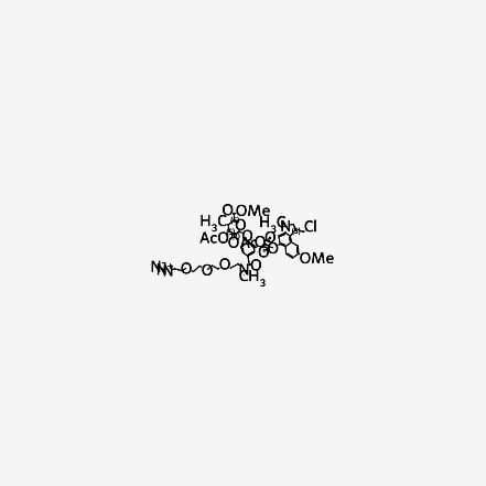 COC(=O)[C@H]1OC(Oc2ccc(C(=O)N(C)CCOCCOCCOCCN=[N+]=[N-])cc2OS(=O)(=O)Oc2cc3c(c4cc(OC)ccc24)[C@H](CCl)CN3C)[C@H](OC(C)=O)[C@@H](OC(C)=O)C1C